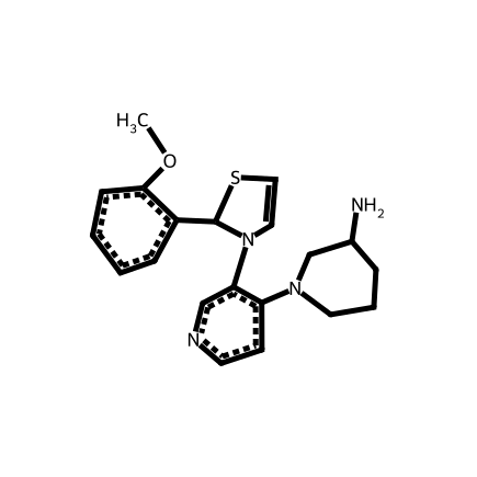 COc1ccccc1C1SC=CN1c1cnccc1N1CCCC(N)C1